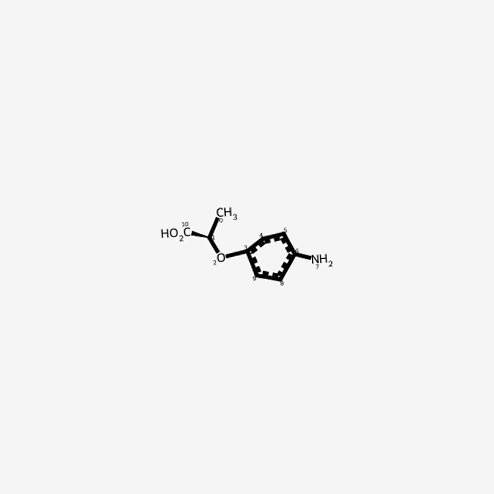 C[C@@H](Oc1ccc(N)cc1)C(=O)O